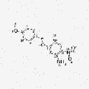 COc1ccc(COc2cc(N)c([N+](=O)[O-])cc2I)cc1